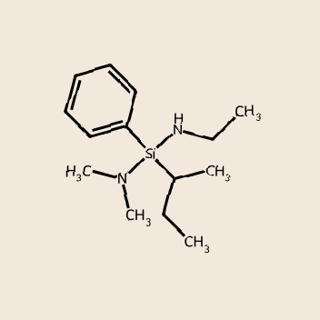 CCN[Si](c1ccccc1)(C(C)CC)N(C)C